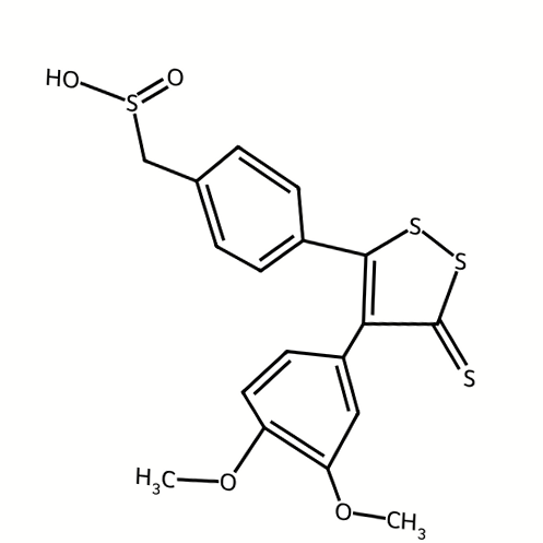 COc1ccc(-c2c(-c3ccc(CS(=O)O)cc3)ssc2=S)cc1OC